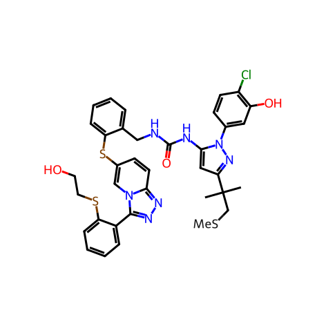 CSCC(C)(C)c1cc(NC(=O)NCc2ccccc2Sc2ccc3nnc(-c4ccccc4SCCO)n3c2)n(-c2ccc(Cl)c(O)c2)n1